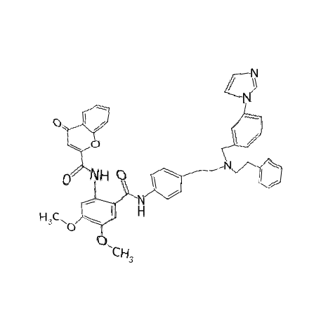 COc1cc(NC(=O)c2cc(=O)c3ccccc3o2)c(C(=O)Nc2ccc(CCN(CCc3ccccc3)Cc3cccc(-n4ccnc4)c3)cc2)cc1OC